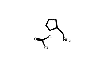 NCC1CCCC1.O=C(Cl)Cl